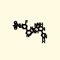 CS(=O)(=O)NCc1cc(F)cc(-c2cncc3[nH]c(-c4n[nH]c5cnc(-c6cn[nH]c6)cc45)nc23)c1